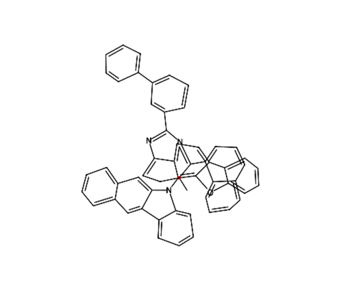 CC1C/C=C(c2ccc3c(oc4ccccc43)c2-n2c3ccccc3c3cc4ccccc4cc32)/N=C(c2cccc(-c3ccccc3)c2)\N=C/1c1cccc2ccccc12